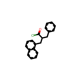 O=C(Cl)C(Cc1ccccc1)Cc1cccc2ccccc12